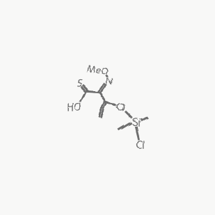 C=C(O[Si](C)(C)Cl)C(=NOC)C(O)=S